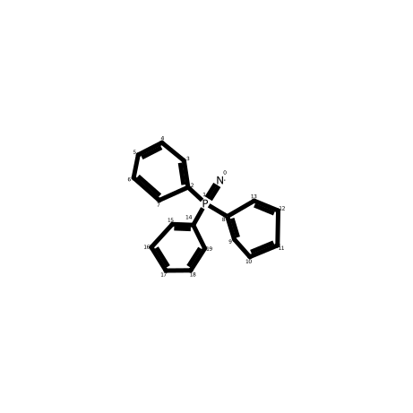 [N]=P(c1ccccc1)(c1ccccc1)c1ccccc1